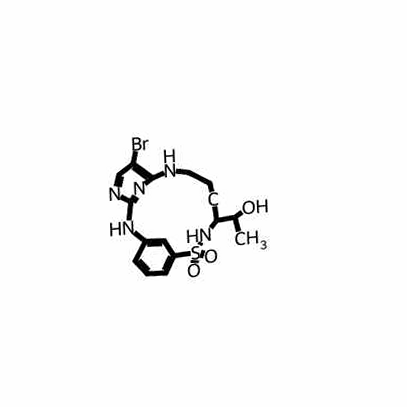 CC(O)C1CCCNc2nc(ncc2Br)Nc2cccc(c2)S(=O)(=O)N1